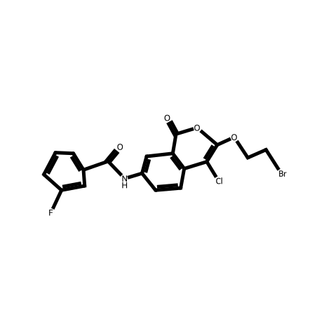 O=C(Nc1ccc2c(Cl)c(OCCBr)oc(=O)c2c1)c1cccc(F)c1